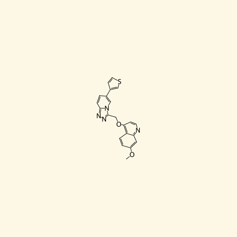 COc1ccc2c(OCc3nnc4ccc(-c5ccsc5)cn34)ccnc2c1